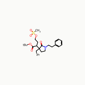 CC(C)CC1(C(CCOS(C)(=O)=O)C(=O)OC(C)(C)C)CCN(CCc2ccccc2)C1=O